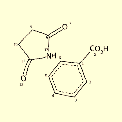 O=C(O)c1ccccc1.O=C1CCC(=O)N1